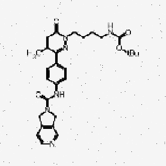 CC1CC(=O)N(CCCCNC(=O)OC(C)(C)C)N=C1c1ccc(NC(=O)N2Cc3ccncc3C2)cc1